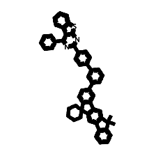 CC1(C)c2ccccc2-c2cc3c(cc21)-c1cc(-c2cccc(-c4ccc(-c5nc(-c6ccccc6)c6c(n5)sc5ccccc56)cc4)c2)ccc1C31CCCCC1